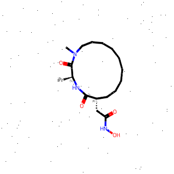 CC(C)[C@@H]1NC(=O)[C@@H](CC(=O)NO)CCCCCCCCCN(C)C1=O